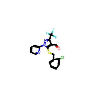 O=Cc1c(C(F)(F)F)nn(-c2ccccn2)c1SCc1ccccc1Cl